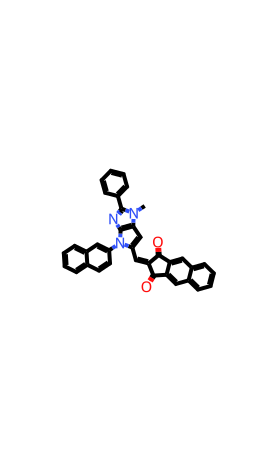 Cn1c(-c2ccccc2)nc2c1cc(C=C1C(=O)c3cc4ccccc4cc3C1=O)n2-c1ccc2ccccc2c1